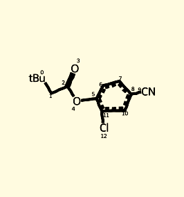 CC(C)(C)CC(=O)Oc1ccc(C#N)cc1Cl